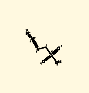 [N-]=[N+]=NCS(=O)(=O)O